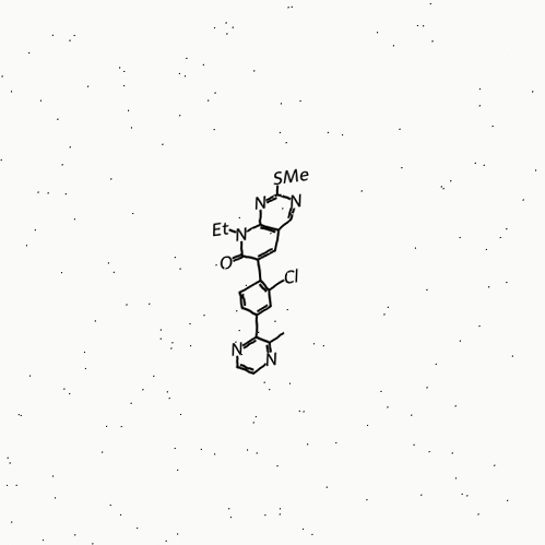 CCn1c(=O)c(-c2ccc(-c3nccnc3C)cc2Cl)cc2cnc(SC)nc21